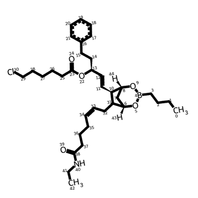 CCCCB1O[C@H]2C[C@@H](O1)[C@H](/C=C/[C@H](CCc1ccccc1)OC(=O)CCCCCCl)C2C/C=C\CCCC(=O)NCC